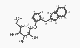 OCC1OC(Oc2ccsc2Cc2cc3ccccc3s2)C(O)C(F)C1O